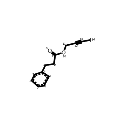 O=C(CCc1ccccc1)OCC#CI